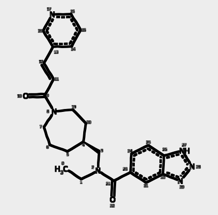 CCN(C[C@H]1CCCN(C(=O)/C=C/c2cccnc2)CC1)C(=O)c1ccc2[nH]nnc2c1